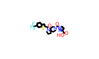 O=C(O)c1ccn(C(=O)N2CCC3(CCCN3C(=O)c3cc4ccc(C(F)(F)F)cc4s3)CC2)n1